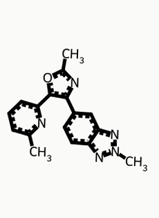 Cc1cccc(-c2oc(C)nc2-c2ccc3nn(C)nc3c2)n1